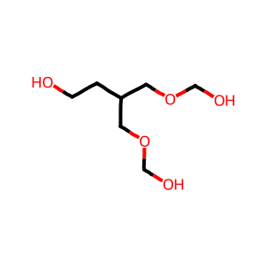 OCCC(COCO)COCO